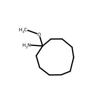 COC1(N)CCCCCCCCC1